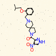 CC(C)COc1ccccc1CN1CCC2(CC1)CCN(C(=O)c1n[nH]cc1[N+](=O)[O-])C2